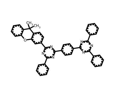 CC1(C)c2ccccc2Oc2cc(-c3nc(-c4ccccc4)nc(-c4ccc(-c5nc(-c6ccccc6)nc(-c6ccccc6)n5)cc4)n3)ccc21